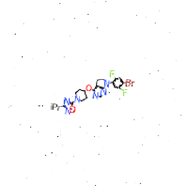 CC(C)c1noc(N2CCC(Oc3ncnc4c3CCN4c3cc(F)c(Br)cc3F)CC2)n1